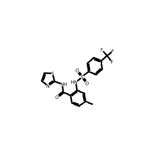 Cc1ccc(C(=O)Nc2nccs2)c(NS(=O)(=O)c2ccc(C(F)(F)F)cc2)c1